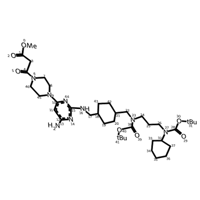 COC(=O)CC(=O)N1CCN(c2cc(N)nc(NCC3CCC(CN(CCCN(C(=O)OC(C)(C)C)C4CCCCC4)C(=O)OC(C)(C)C)CC3)n2)CC1